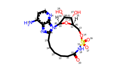 Nc1ccnc2c1nc1n2[C@@H]2O[C@H](COS(=O)(=O)NC(=O)CCCCC1)[C@@H](O)[C@H]2O